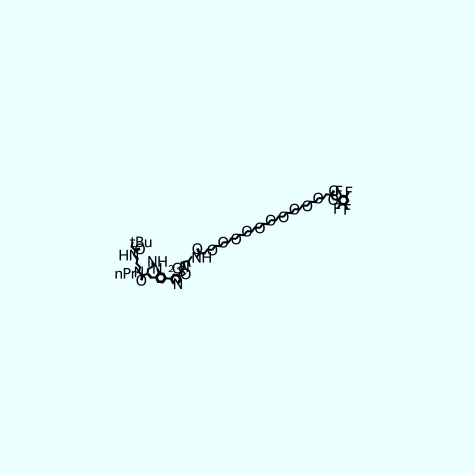 CCCN(CCCNC(=O)CC(C)(C)C)C(=O)C1=Cc2ccc(-c3cncc(S(=O)(=O)N4CC(CNC(=O)CCOCCOCCOCCOCCOCCOCCOCCOCCOCCOCCC(=O)Oc5c(F)c(F)cc(F)c5F)C4)c3)cc2N=C(N)C1